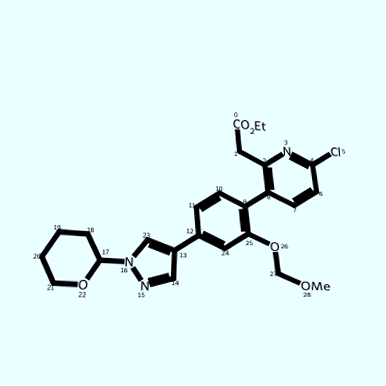 CCOC(=O)Cc1nc(Cl)ccc1-c1ccc(-c2cnn(C3CCCCO3)c2)cc1OCOC